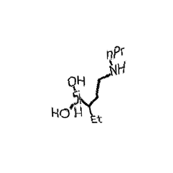 CCCNCCC(CC)[SiH](O)O